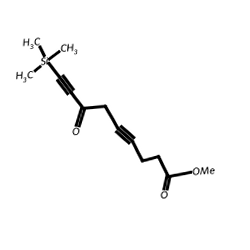 COC(=O)CCC#CCC(=O)C#C[Si](C)(C)C